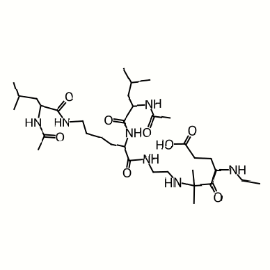 CCNC(CCC(=O)O)C(=O)C(C)(C)NCCNC(=O)C(CCCCNC(=O)C(CC(C)C)NC(C)=O)NC(=O)C(CC(C)C)NC(C)=O